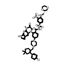 CN1C(=O)CN(c2cc(N3CCN(CC4=C(c5ccc(Cl)cc5)CC(C)(C)CC4)CC3)ccc2C(=O)NS(=O)(=O)c2ccc(NC[C@H]3COCCO3)c([N+](=O)[O-])c2)c2cc3cc[nH]c3nc21